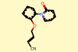 N#CC=CCOc1ccccc1-n1ccccc1=O